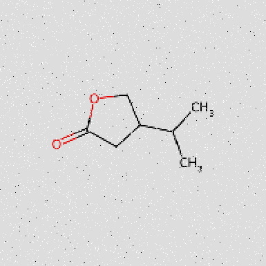 CC(C)C1COC(=O)C1